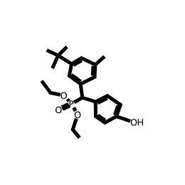 CCOP(=O)(OCC)C(c1ccc(O)cc1)c1cc(C)cc(C(C)(C)C)c1